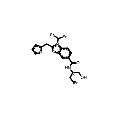 CCC(CC)n1c(Cc2cccs2)nc2cc(C(=O)N[C@@H](CO)CC(C)C)ccc21